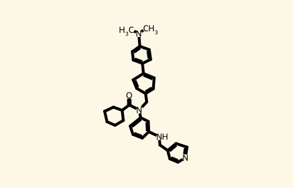 CN(C)c1ccc(-c2ccc(CN(C(=O)C3CCCCC3)c3cccc(NCc4ccncc4)c3)cc2)cc1